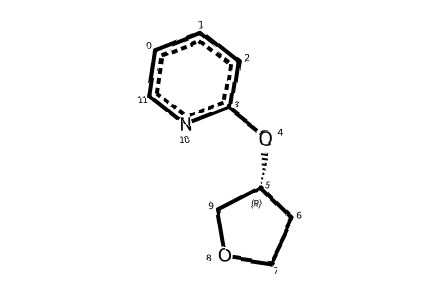 c1ccc(O[C@@H]2CCOC2)nc1